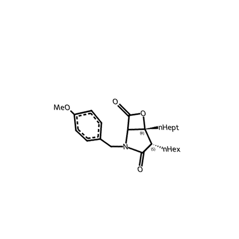 CCCCCCC[C@]12OC(=O)C1N(Cc1ccc(OC)cc1)C(=O)[C@H]2CCCCCC